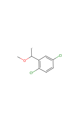 [CH2]C(OC)c1cc(Cl)ccc1Cl